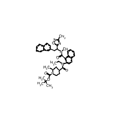 CCN(C(=O)C1CCN(C(=O)OC(C)(C)C)C(C)C1)c1ccc2ccccc2c1C(=O)N(C)C(Cc1ccc2ccccc2c1)c1nc(C)no1